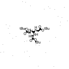 CC(C)(C)OC(=O)CNC(=NNC(=O)OC(C)(C)C)NNC(=O)OC(C)(C)C